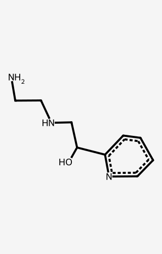 NCCNCC(O)c1ccccn1